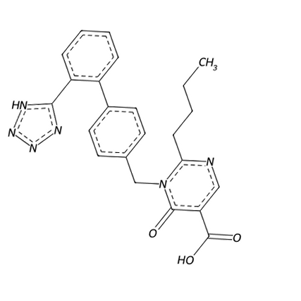 CCCCc1ncc(C(=O)O)c(=O)n1Cc1ccc(-c2ccccc2-c2nnn[nH]2)cc1